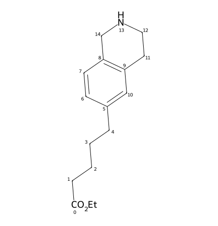 CCOC(=O)CCCCc1ccc2c(c1)CCNC2